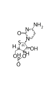 Nc1ccn([C@@H]2S[C@@H]3CO[PH](=O)O[C@H]3[C@@H]2O)c(=O)n1